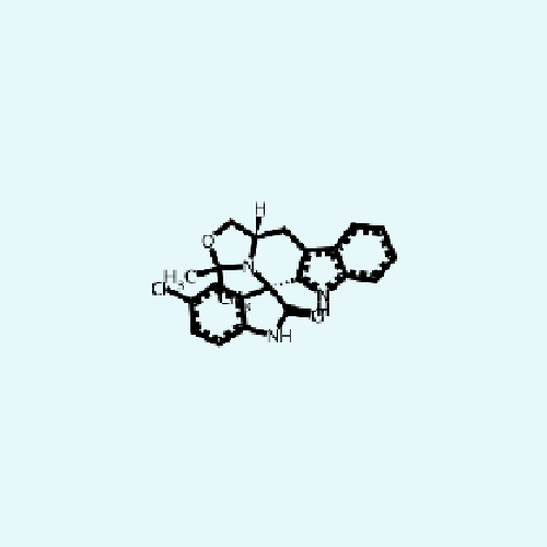 CC1(C)OC[C@@H]2Cc3c([nH]c4ccccc34)[C@@]3(C(=O)Nc4ccc(Cl)cc43)N21